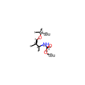 CC(=CO[Si](C)(C)C(C)(C)C)C(C)NC(=O)OC(C)(C)C